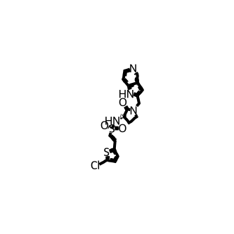 O=C1[C@@H](NS(=O)(=O)C=Cc2ccc(Cl)s2)CCN1Cc1cc2cnccc2[nH]1